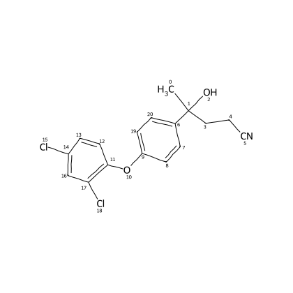 CC(O)(CCC#N)c1ccc(Oc2ccc(Cl)cc2Cl)cc1